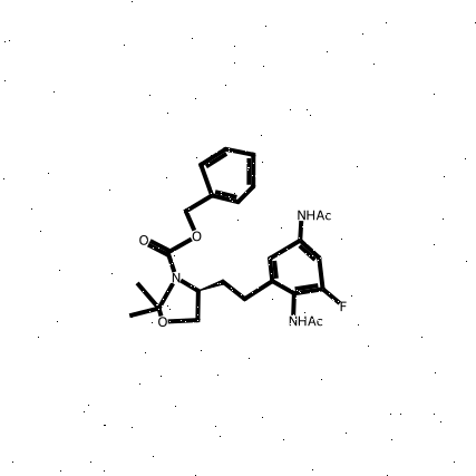 CC(=O)Nc1cc(F)c(NC(C)=O)c(CC[C@H]2COC(C)(C)N2C(=O)OCc2ccccc2)c1